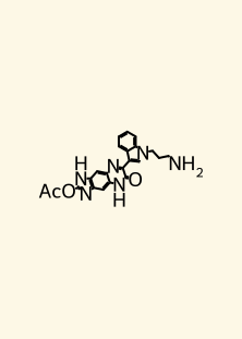 CC(=O)Oc1nc2cc3[nH]c(=O)c(-c4cn(CCCN)c5ccccc45)nc3cc2[nH]1